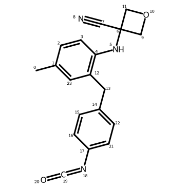 Cc1ccc(NC2(C#N)COC2)c(Cc2ccc(N=C=O)cc2)c1